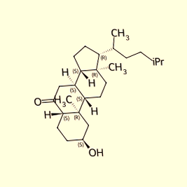 CC(C)CCC(C)[C@H]1CC[C@H]2[C@@H]3CC(=O)[C@H]4CC[C@H](O)C[C@]4(C)[C@H]3CC[C@]12C